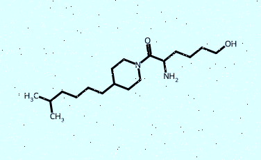 CC(C)CCCCC1CCN(C(=O)C(N)CCCCO)CC1